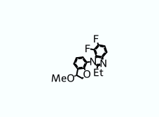 CCc1nc2ccc(F)c(F)c2n1-c1cccc2c1OC[C@H]2OC